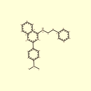 CN(C)c1ccc(-c2nc(NCCc3ccccc3)c3ccccc3n2)cc1